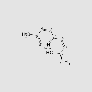 Bc1ccc(/C=C\[C@@H](C)O)nc1